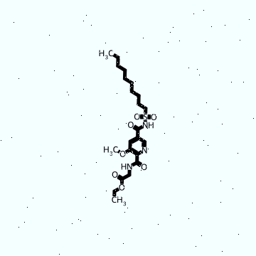 CCCCCCCCCCS(=O)(=O)NC(=O)c1cnc(C(=O)NCC(=O)OCC)c(OC)c1